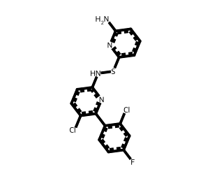 Nc1cccc(SNc2ccc(Cl)c(-c3ccc(F)cc3Cl)n2)n1